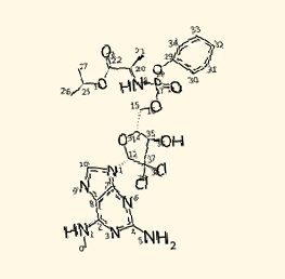 CNc1nc(N)nc2c1ncn2[C@@H]1O[C@H](CO[P@](=O)(N[C@H](C)C(=O)OC(C)C)Oc2ccccc2)[C@@H](O)C1(Cl)Cl